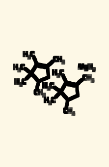 CC1=C(C)C(C)(C)C(C)C1.CC1=C(C)C(C)(C)C(C)C1.[MgH2]